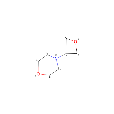 C1CN(C2COC2)CCO1